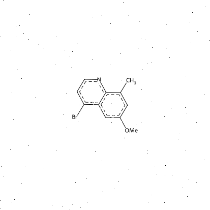 COc1cc(C)c2nccc(Br)c2c1